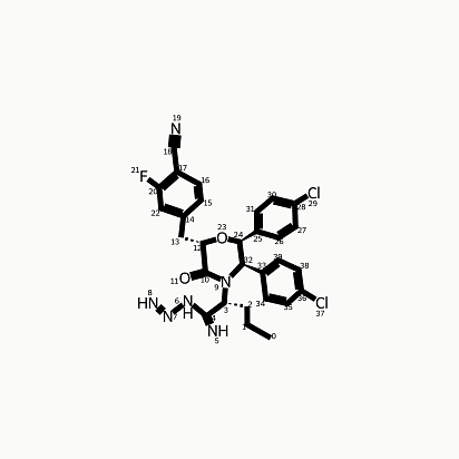 CCC[C@H](C(=N)NN=N)N1C(=O)[C@H](Cc2ccc(C#N)c(F)c2)O[C@@H](c2ccc(Cl)cc2)[C@H]1c1ccc(Cl)cc1